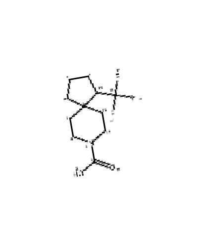 O=C(O)N1CCC2(CCCC2C(F)(F)F)CC1